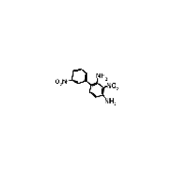 Nc1ccc(-c2cccc([N+](=O)[O-])c2)c(N)c1[N+](=O)[O-]